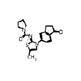 Cc1cn(-c2ccc3c(c2)CCC3=O)/c(=N/C(=O)N2CCCC2)s1